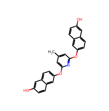 Cc1cc(Oc2ccc3cc(O)ccc3c2)nc(Oc2ccc3cc(O)ccc3c2)c1